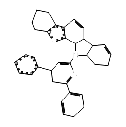 C1=CC(C2=NC(N3C4CCC=CC4C4C=Cc5c(sc6c5CCCC6)C43)=CC(c3ccccc3)C2)=CCC1